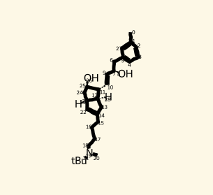 Cc1cccc(C[C@H](O)/C=C/[C@@H]2[C@H]3CC(CCCCN(C)C(C)(C)C)=C[C@H]3C[C@H]2O)c1